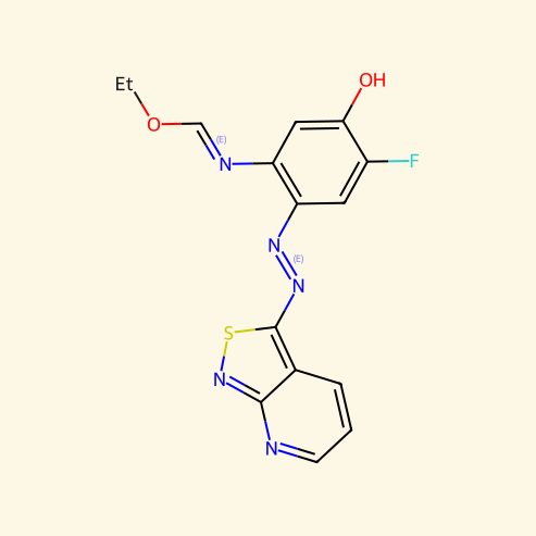 CCO/C=N/c1cc(O)c(F)cc1/N=N/c1snc2ncccc12